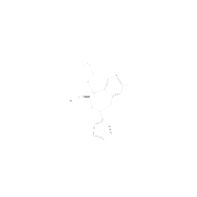 CN(C)CCN1C(=O)CC(c2ccccc2)Cc2ccccc21.Cl